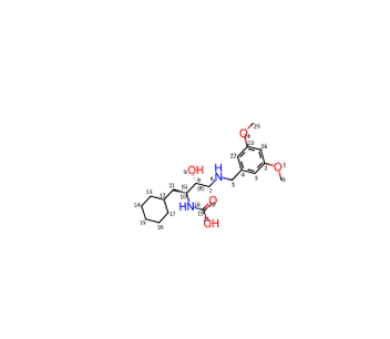 COc1cc(CNC[C@@H](O)[C@H](CC2CCCCC2)NC(=O)O)cc(OC)c1